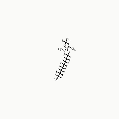 FC(F)(F)O[Si](OC(F)(F)F)(OC(F)(F)C(F)(F)F)OC(F)(F)C(F)(F)C(F)(F)C(F)(F)C(F)(F)C(F)(F)C(F)(F)C(F)(F)C(F)(F)F